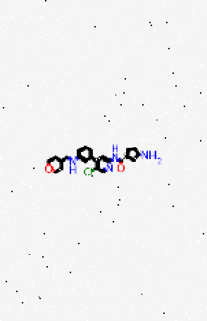 N[C@@H]1CC[C@@H](C(=O)Nc2cc(-c3cccc(NCC4CCOCC4)c3)c(Cl)cn2)C1